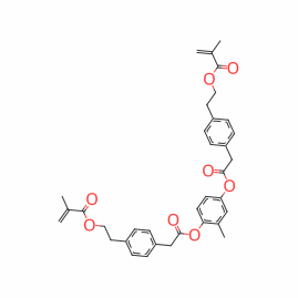 C=C(C)C(=O)OCCc1ccc(CC(=O)Oc2ccc(OC(=O)Cc3ccc(CCOC(=O)C(=C)C)cc3)c(C)c2)cc1